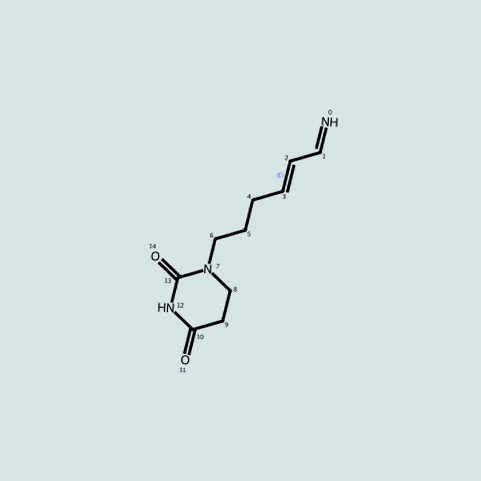 N=C/C=C/CCCN1CCC(=O)NC1=O